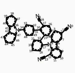 N#Cc1ccc2c(c1)c1cccc(C#N)c1n2-c1ccccc1-c1cccc(C#N)c1-c1ccc(-n2c3ccccc3c3ccccc32)cc1